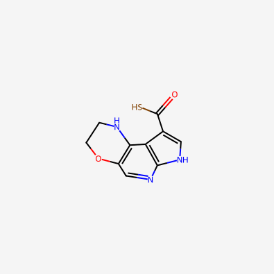 O=C(S)c1c[nH]c2ncc3c(c12)NCCO3